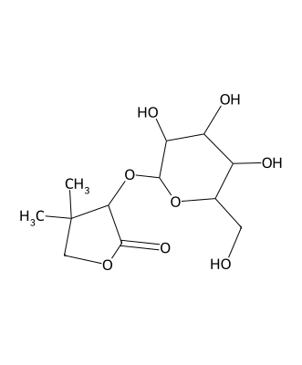 CC1(C)COC(=O)C1OC1OC(CO)C(O)C(O)C1O